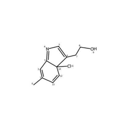 CC1=CC2=NC=C(CCO)C2(Cl)C=C1